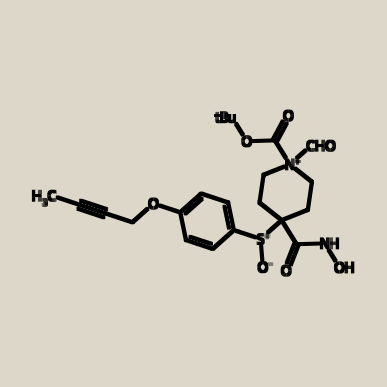 CC#CCOc1ccc([S+]([O-])C2(C(=O)NO)CC[N+](C=O)(C(=O)OC(C)(C)C)CC2)cc1